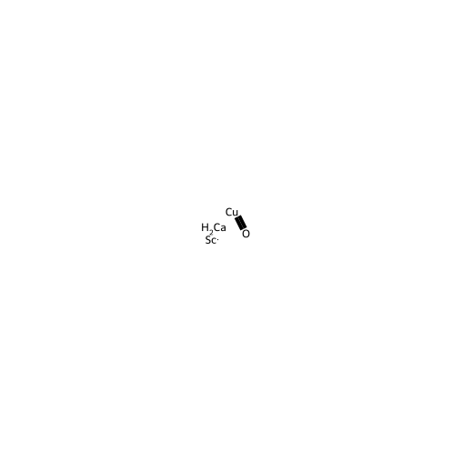 [CaH2].[O]=[Cu].[Sc]